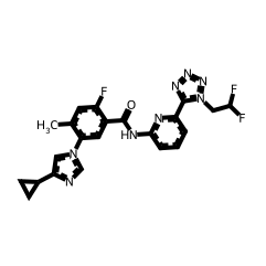 Cc1cc(F)c(C(=O)Nc2cccc(-c3nnnn3CC(F)F)n2)cc1-n1cnc(C2CC2)c1